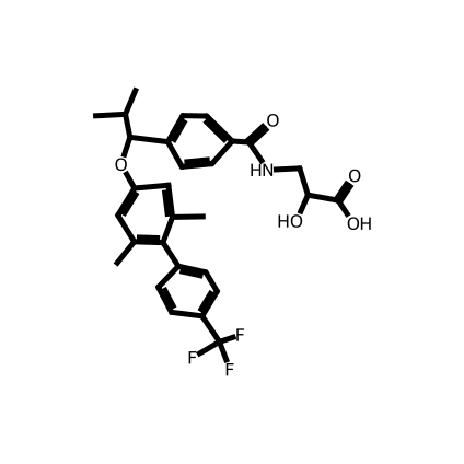 Cc1cc(OC(c2ccc(C(=O)NCC(O)C(=O)O)cc2)C(C)C)cc(C)c1-c1ccc(C(F)(F)F)cc1